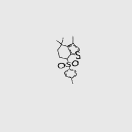 Cc1ccc(S(=O)(=O)C2CCC(C)(C)c3c(C)csc32)cc1